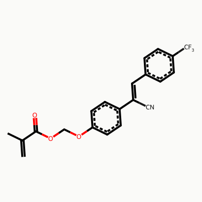 C=C(C)C(=O)OCOc1ccc(/C(C#N)=C/c2ccc(C(F)(F)F)cc2)cc1